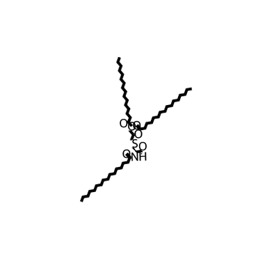 CCCCCCCCCCCCCCCC(=O)N[C@H]([C]=O)CSCC(COC(=O)CCCCCCCCCCCCCCC)OC(=O)CCCCCCCCCCCCCCC